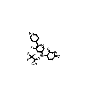 O=C(O)C(F)(F)F.O=C1CCC(Nc2cnc(C3CCNCC3)c(F)c2)C(=O)N1